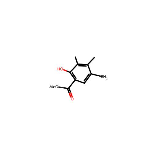 Bc1cc(C(=O)OC)c(O)c(C)c1C